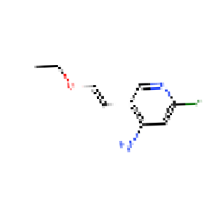 CCO/C=C/c1cnc(Cl)cc1N